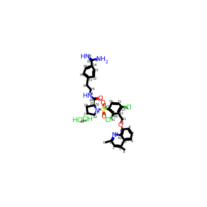 Cc1cc(C)c2cccc(OCc3c(Cl)ccc(S(=O)(=O)N4CCC[C@H]4C(=O)NCCc4ccc(C(=N)N)cc4)c3Cl)c2n1.Cl.Cl